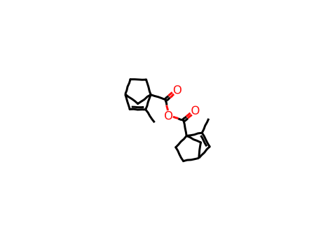 CC1=CC2CCC1(C(=O)OC(=O)C13CCC(C=C1C)C3)C2